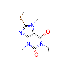 CCn1c(=O)c2c(nc(SC)n2C)n(C)c1=O